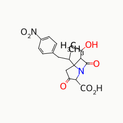 CC(O)C1C(=O)N2C(C(=O)O)C(=O)CC12C(C)Cc1ccc([N+](=O)[O-])cc1